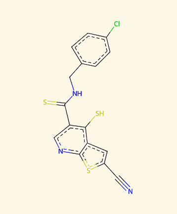 N#Cc1cc2c(S)c(C(=S)NCc3ccc(Cl)cc3)cnc2s1